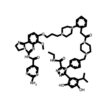 CCNC(=O)c1nnc(-c2cc(C(C)C)c(O)cc2O)n1-c1ccc(CN2CCN(C(=O)Cc3ccccc3N3CCN(CCCOc4ccc5c(c4OC)N=C(NC(=O)c4cnc(N)nc4)N4CCN=C54)CC3)CC2)cc1